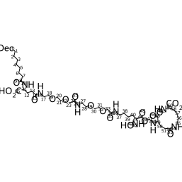 CCCCCCCCCCCCCCCCCC(=O)N[C@@H](CCC(=O)NCCOCCOCC(=O)NCCOCCOCC(=O)NCCCCC(NO)C(=O)OCNC1CCC(=O)NCCCCC(C(=O)O)NOC1=O)C(=O)O